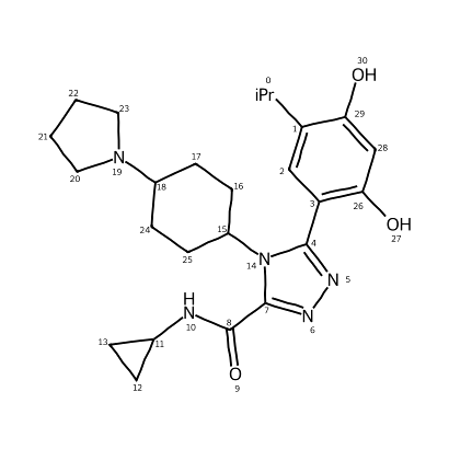 CC(C)c1cc(-c2nnc(C(=O)NC3CC3)n2C2CCC(N3CCCC3)CC2)c(O)cc1O